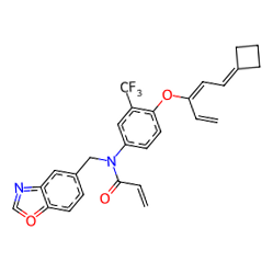 C=CC(=O)N(Cc1ccc2ocnc2c1)c1ccc(O/C(C=C)=C/C=C2CCC2)c(C(F)(F)F)c1